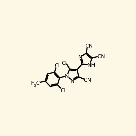 N#Cc1nc(-c2c(C#N)nn(-c3c(Cl)cc(C(F)(F)F)cc3Cl)c2Cl)[nH]c1C#N